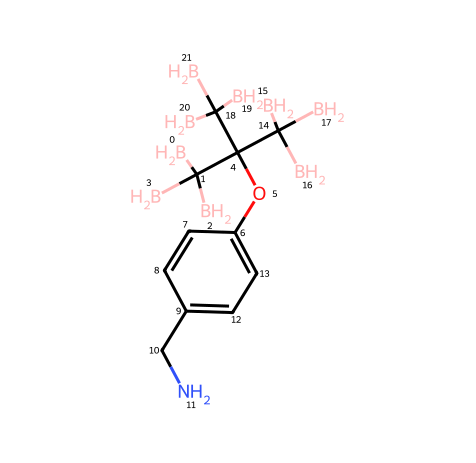 BC(B)(B)C(Oc1ccc(CN)cc1)(C(B)(B)B)C(B)(B)B